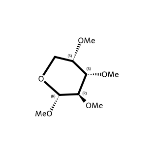 CO[C@@H]1OC[C@H](OC)[C@H](OC)[C@H]1OC